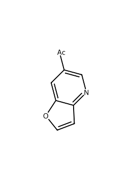 CC(=O)c1cnc2ccoc2c1